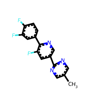 Cc1cnc(-c2cnc(-c3ccc(F)c(F)c3)c(F)c2)nc1